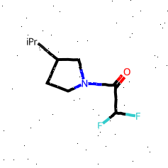 CC(C)C1CCN(C(=O)C(F)F)C1